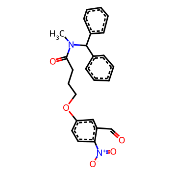 CN(C(=O)CCCOc1ccc([N+](=O)[O-])c(C=O)c1)C(c1ccccc1)c1ccccc1